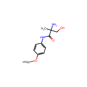 CCCCCCCOc1ccc(NC(=O)C(C)(N)CO)cc1